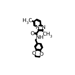 Cc1ccc2nc(C)c(C(=O)NCc3ccc4c(c3)OCCO4)n2c1